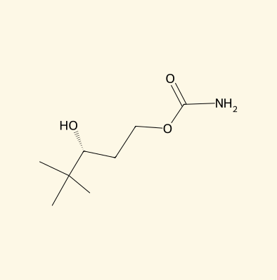 CC(C)(C)[C@H](O)CCOC(N)=O